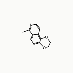 Cc1nccc2c3c(ccc12)OCCO3